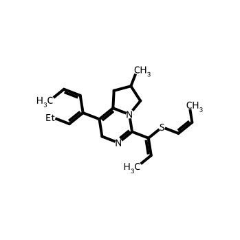 C/C=C\S/C(=C/C)C1=NCC(C(/C=C\C)=C/CC)=C2CC(C)CN12